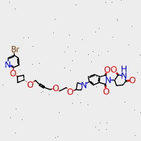 O=C1CCC(N2C(=O)c3ccc(N4CC(OCCOCC#CCO[C@H]5C[C@H](Oc6ccc(Br)cn6)C5)C4)cc3C2=O)C(=O)N1